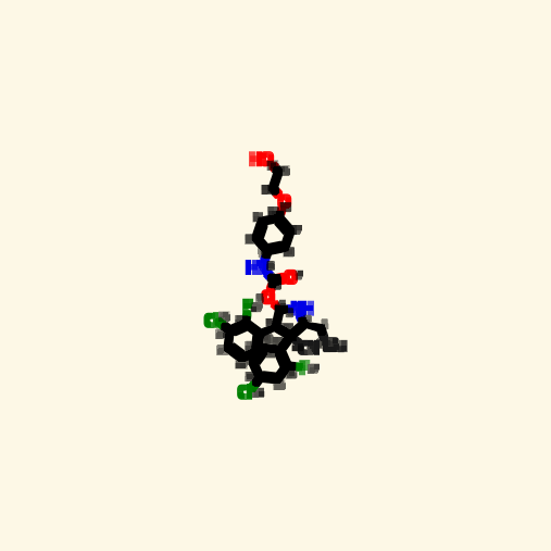 CC(C)(C)C[C@@H]1N[C@H](OC(=O)Nc2ccc(OCCO)cc2)[C@H](c2cccc(Cl)c2F)[C@@]1(C#N)c1ccc(Cl)cc1F